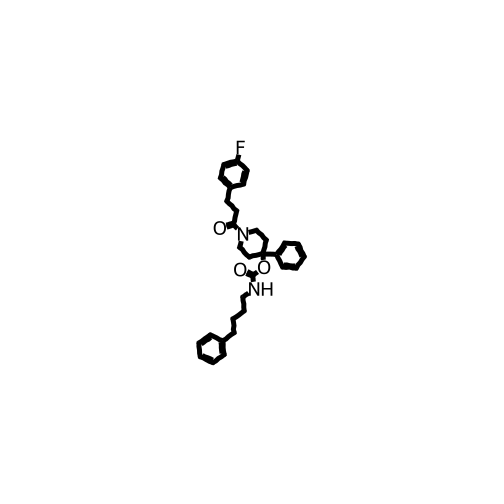 O=C(NCCCCc1ccccc1)OC1(c2ccccc2)CCN(C(=O)CCc2ccc(F)cc2)CC1